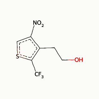 O=[N+]([O-])c1csc(C(F)(F)F)c1CCO